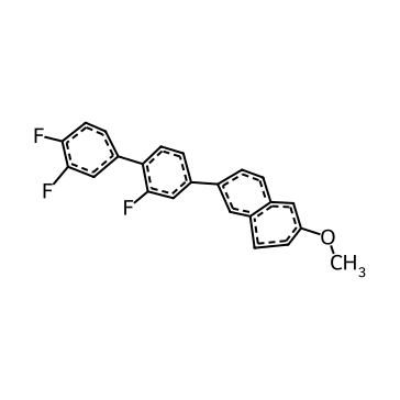 COc1ccc2cc(-c3ccc(-c4ccc(F)c(F)c4)c(F)c3)ccc2c1